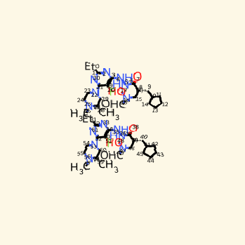 CCc1nc(NNC(=O)[C@H](CC2CCCC2)CN(O)C=O)c(F)c(N2CCN(C)[C@H](C)C2)n1.CCc1nc(NNC(=O)[C@H](CC2CCCC2)CN(O)C=O)c(F)c(N2CCN(C)[C@H](C)C2)n1